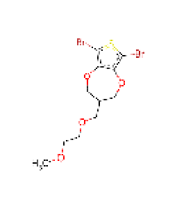 COCCOCC1COc2c(Br)sc(Br)c2OC1